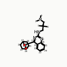 CN(C)CC(C)(C)CNc1nc(N2CC3CCC(CC3)C2)c2ccccc2n1